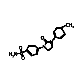 Cc1ccc(N2CCN(c3ccc(S(N)(=O)=O)cc3)C2=O)cc1